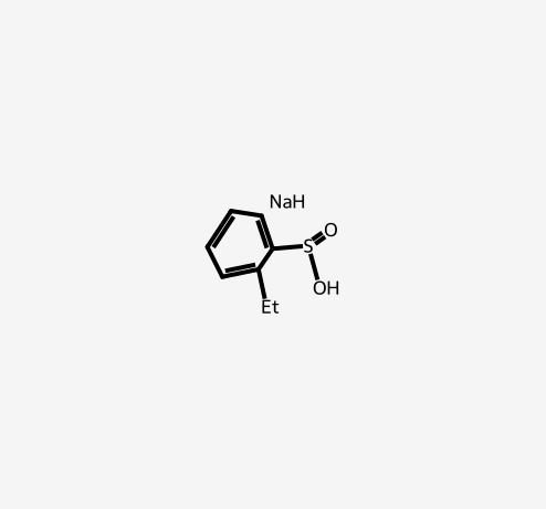 CCc1ccccc1S(=O)O.[NaH]